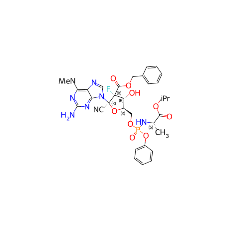 CNc1nc(N)nc2c1ncn2[C@]1(C#N)O[C@H](COP(=O)(N[C@@H](C)C(=O)OC(C)C)Oc2ccccc2)[C@@H](O)[C@]1(F)C(=O)OCc1ccccc1